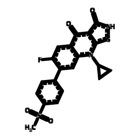 CS(=O)(=O)c1ccc(-c2cc3c(cc2F)c(=O)c2c(=O)[nH]sc2n3C2CC2)cc1